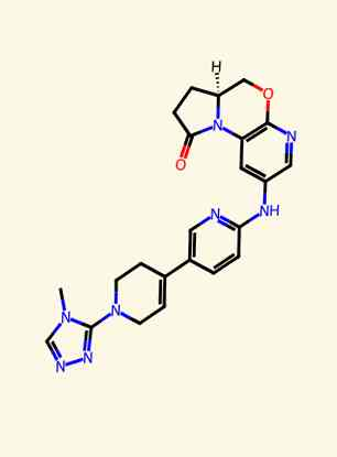 Cn1cnnc1N1CC=C(c2ccc(Nc3cnc4c(c3)N3C(=O)CC[C@H]3CO4)nc2)CC1